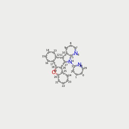 c1ccc(-n2c3ncccc3c3c4ccccc4c4oc5ccccc5c4c32)nc1